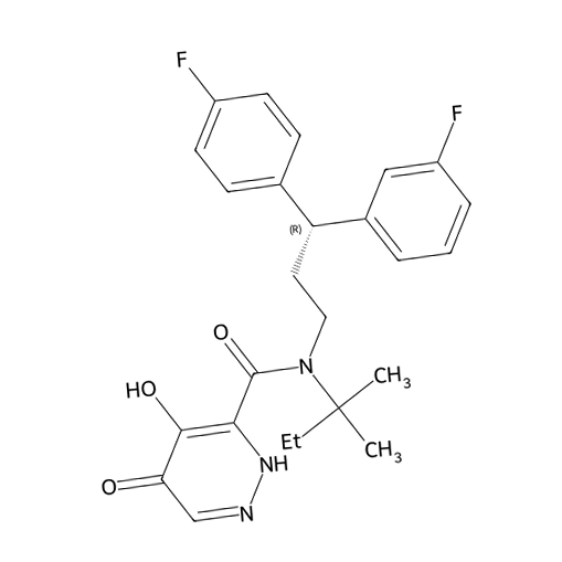 CCC(C)(C)N(CC[C@H](c1ccc(F)cc1)c1cccc(F)c1)C(=O)c1[nH]ncc(=O)c1O